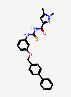 Cc1cc(C(=O)NC(=S)Nc2cccc(OCc3ccc(-c4ccccc4)cc3)c2)nn1C